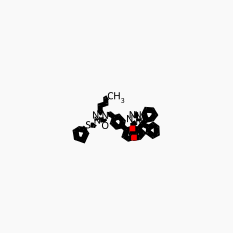 CCCCc1nn(CSc2ccccc2)c(=O)n1Cc1ccc(-c2ccccc2-c2nnnn2C(c2ccccc2)(c2ccccc2)c2ccccc2)cc1